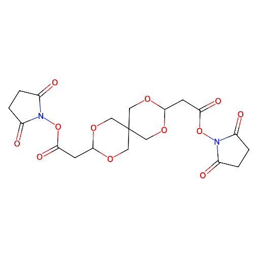 O=C(CC1OCC2(CO1)COC(CC(=O)ON1C(=O)CCC1=O)OC2)ON1C(=O)CCC1=O